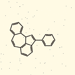 C1=Cc2cccc3c2C(C=C3c2ccccc2)c2ccccc21